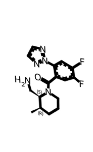 C[C@@H]1CCCN(C(=O)c2cc(F)c(F)cc2-n2nccn2)[C@@H]1CN